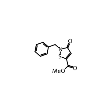 COC(=O)c1cc(=O)n(Cc2ccccc2)s1